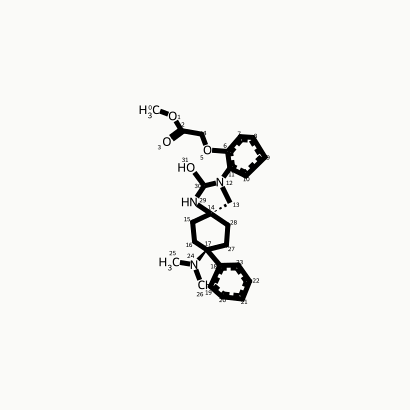 COC(=O)COc1ccccc1N1C[C@]2(CC[C@](c3ccccc3)(N(C)C)CC2)NC1O